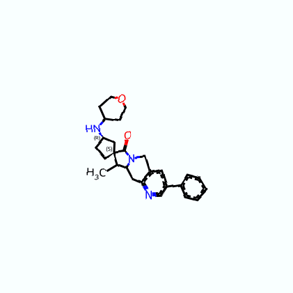 CC1C2Cc3ncc(-c4ccccc4)cc3CN2C(=O)[C@]12CC[C@@H](NC1CCOCC1)C2